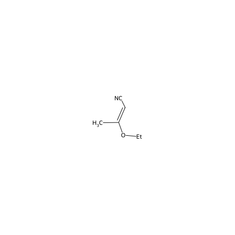 CCOC(C)=CC#N